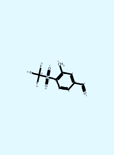 Cc1cc(C=O)ccc1S(=O)(=O)C(F)(F)F